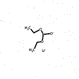 CCOB([O-])OCC.[Li+]